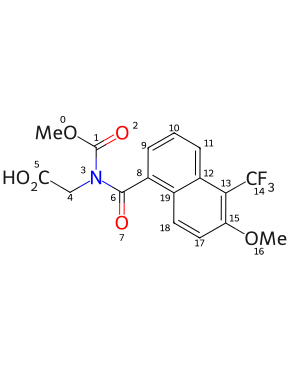 COC(=O)N(CC(=O)O)C(=O)c1cccc2c(C(F)(F)F)c(OC)ccc12